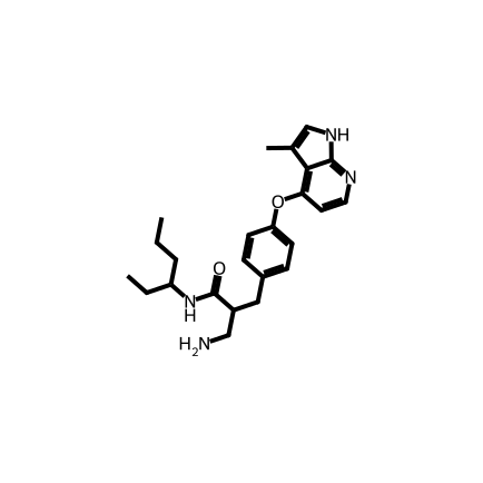 CCCC(CC)NC(=O)C(CN)Cc1ccc(Oc2ccnc3[nH]cc(C)c23)cc1